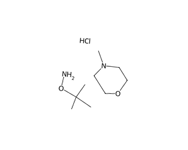 CC(C)(C)ON.CN1CCOCC1.Cl